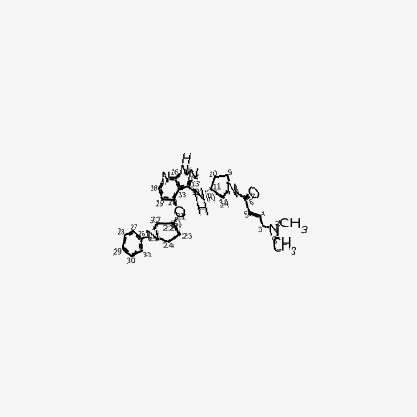 CN(C)CC=CC(=O)N1CC[C@@H](Nc2n[nH]c3nccc(O[C@H]4CCN(c5ccccc5)C4)c23)C1